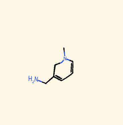 CN1C=CC=C(CN)C1